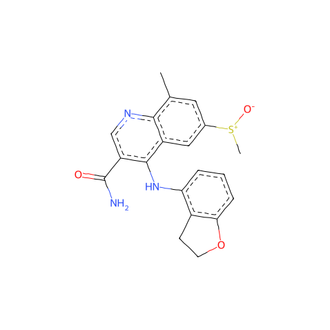 Cc1cc([S+](C)[O-])cc2c(Nc3cccc4c3CCO4)c(C(N)=O)cnc12